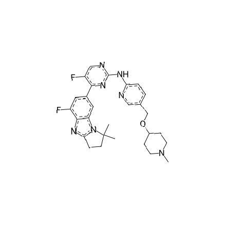 CN1CCC(OCc2ccc(Nc3ncc(F)c(-c4cc(F)c5nc6n(c5c4)C(C)(C)CC6)n3)nc2)CC1